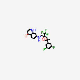 CC(C)(CC(O)(CNc1ccc2c(=O)cc[nH]c2c1)C(F)(F)F)c1cc(F)cc(F)c1